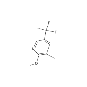 COc1ncc(C(F)(F)F)cc1I